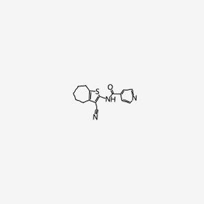 N#Cc1c(NC(=O)c2ccncc2)sc2c1CCCCC2